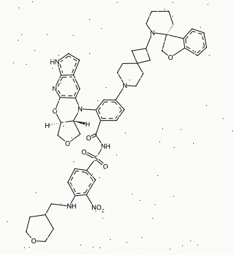 O=C(NS(=O)(=O)c1ccc(NCC2CCOCC2)c([N+](=O)[O-])c1)c1ccc(N2CCC3(CC2)CC(N2CCCC[C@]24COc2ccccc24)C3)cc1N1c2cc3cc[nH]c3nc2O[C@@H]2COC[C@H]21